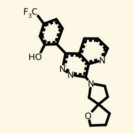 Oc1cc(C(F)(F)F)ccc1-c1nnc(N2CCC3(CCCO3)C2)c2ncccc12